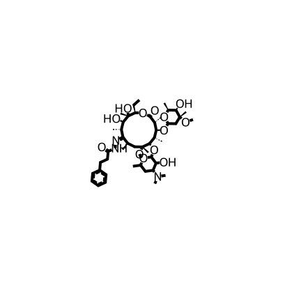 CC[C@H]1OC(=O)[C@H](C)[C@@H](OC2C[C@@](C)(OC)[C@@H](O)[C@H](C)O2)[C@H](C)[C@@H](OC2OC(C)CC(N(C)C)C2O)[C@](C)(OC)C[C@@H](C)/C(=N\NC(=O)CCc2ccccc2)[C@H](C)[C@@H](O)[C@]1(C)O